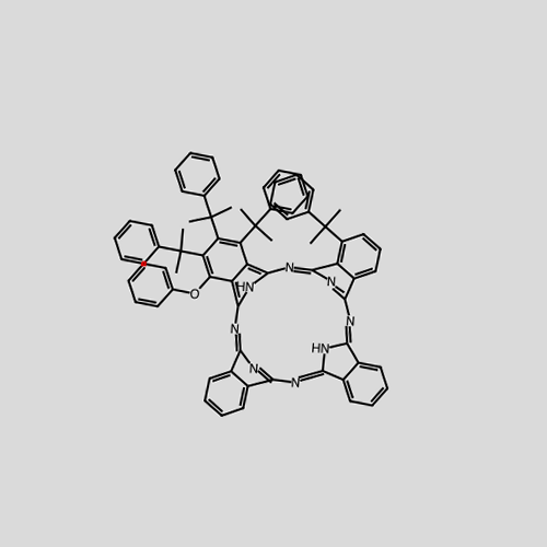 CC(C)(c1ccccc1)c1cccc2c1-c1nc-2nc2[nH]c(nc3nc(nc4[nH]c(n1)c1c(C(C)(C)c5ccccc5)c(C(C)(C)c5ccccc5)c(C(C)(C)c5ccccc5)c(Oc5ccccc5)c41)-c1ccccc1-3)c1ccccc21